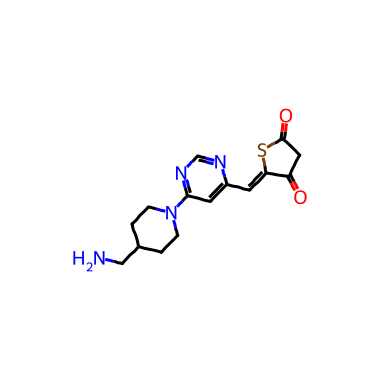 NCC1CCN(c2cc(/C=C3\SC(=O)CC3=O)ncn2)CC1